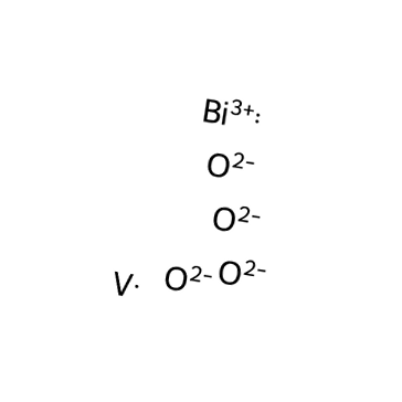 [Bi+3].[O-2].[O-2].[O-2].[O-2].[V]